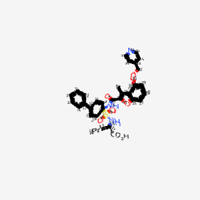 Cc1c(C(=O)NC2(S(=O)(=O)N[C@H](C(=O)O)C(C)C)C=CC(c3ccccc3)=CC2)oc2cccc(OCc3ccncc3)c12